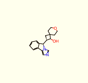 O[C@H]1[C@@H]([C@@H]2c3ccccc3-c3cncn32)CC12CCOCC2